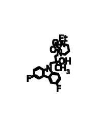 CCN1CCCN(CC(C)(O)Cn2c3ccc(F)cc3c3cc(F)ccc32)S1(=O)=O